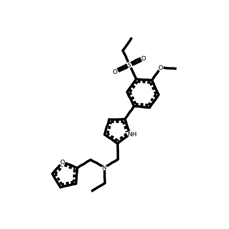 CCN(Cc1ccc(-c2ccc(OC)c(S(=O)(=O)CC)c2)[nH]1)Cc1ccco1